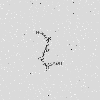 O=C(CCSCCC(=O)SCSCSCO)SCCSCC[S+]([O-])CCCSCCC(=O)SCSCSCO